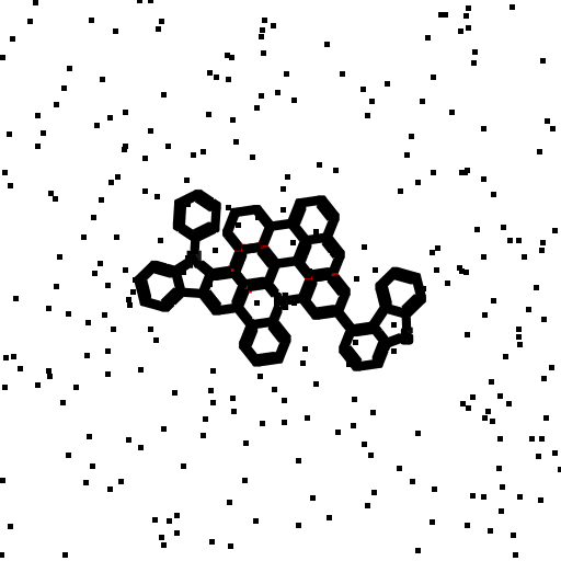 c1ccc(-n2c3ccccc3c3cc(-c4ccccc4N(c4cccc(-c5cccc6sc7ccccc7c56)c4)c4ccccc4-c4cccc5cccc(C6CCCCC6)c45)ccc32)cc1